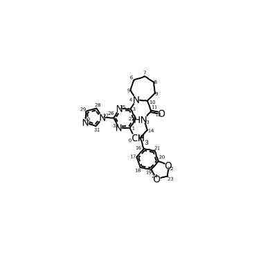 Cc1cc(N2CCCCCC2C(=O)NCCc2ccc3c(c2)OCO3)nc(-n2ccnc2)n1